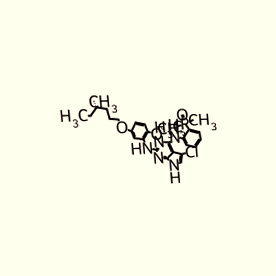 CC[C@H](C)CCCOc1ccc(OC)c(Nc2nc(Nc3ccccc3P(C)(C)=O)c3c(Cl)c[nH]c3n2)c1